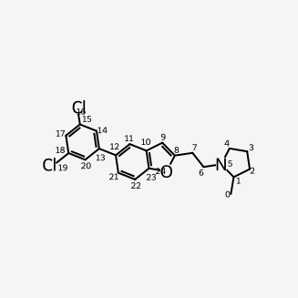 CC1CCCN1CCc1cc2cc(-c3cc(Cl)cc(Cl)c3)ccc2o1